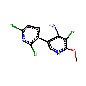 COc1ncc(-c2ccc(Cl)nc2Cl)c(N)c1Br